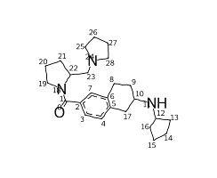 O=C(c1ccc2c(c1)CCC(NC1CCCC1)C2)N1CCCC1CN1CCCC1